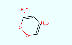 C1=COOC=C1.O.O